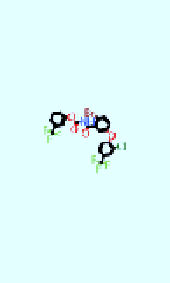 O=C(NC(=O)c1cc(Oc2ccc(C(F)(F)F)cc2Cl)ccc1Br)Oc1cccc(C(F)(F)F)c1